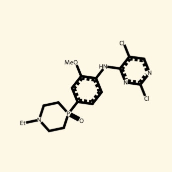 CCN1CCP(=O)(c2ccc(Nc3nc(Cl)ncc3Cl)c(OC)c2)CC1